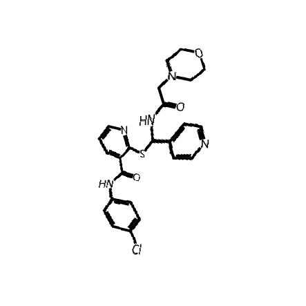 O=C(CN1CCOCC1)NC(Sc1ncccc1C(=O)Nc1ccc(Cl)cc1)c1ccncc1